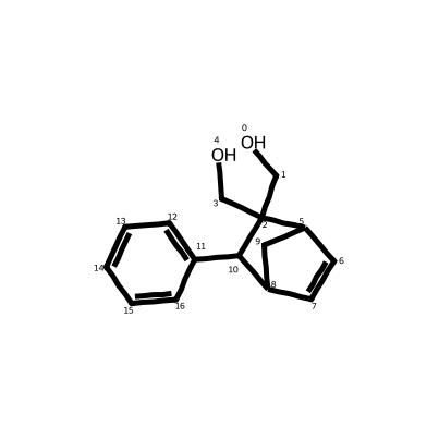 OCC1(CO)C2C=CC(C2)C1c1ccccc1